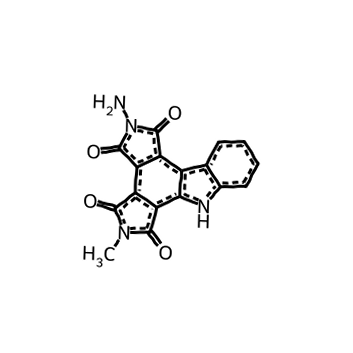 Cn1c(=O)c2c3[nH]c4ccccc4c3c3c(=O)n(N)c(=O)c3c2c1=O